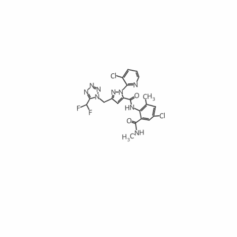 CNC(=O)c1cc(Cl)cc(C)c1NC(=O)c1cc(Cn2nnnc2C(F)F)nn1-c1ncccc1Cl